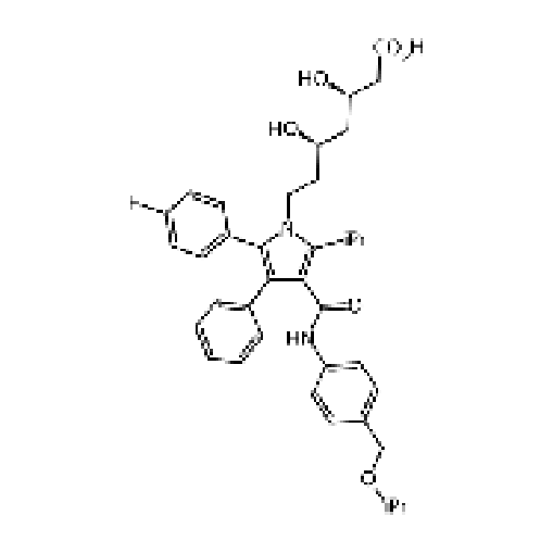 CC(C)OCc1ccc(NC(=O)c2c(-c3ccccc3)c(-c3ccc(F)cc3)n(CC[C@@H](O)C[C@@H](O)CC(=O)O)c2C(C)C)cc1